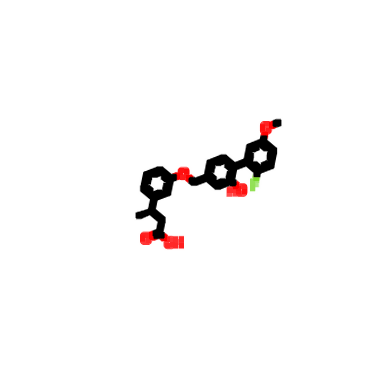 COc1ccc(F)c(-c2ccc(COc3cccc([C@H](C)CC(=O)O)c3)cc2O)c1